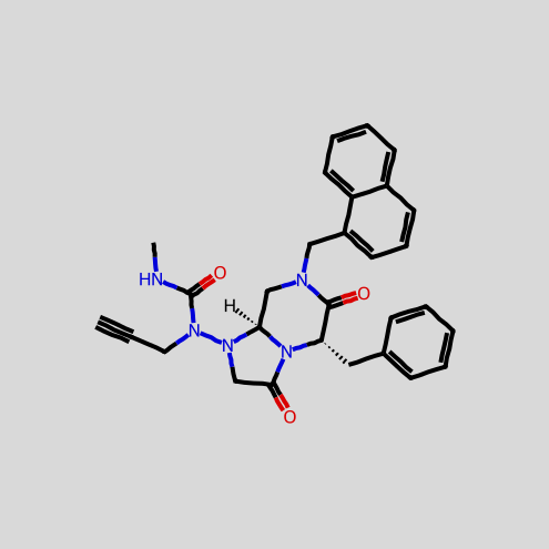 C#CCN(C(=O)NC)N1CC(=O)N2[C@@H](Cc3ccccc3)C(=O)N(Cc3cccc4ccccc34)C[C@@H]21